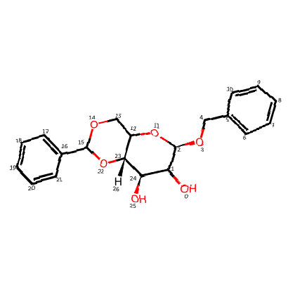 OC1[C@H](OCc2ccccc2)OC2COC(c3ccccc3)O[C@H]2[C@@H]1O